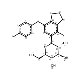 Cc1ccc(Cc2cc([C@@H]3O[C@H](CO)[C@@H](O)[C@H](O)[C@H]3O)c(C)c3c2CCC3)cc1